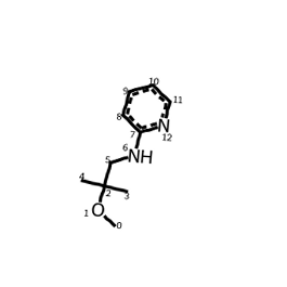 COC(C)(C)CNc1ccccn1